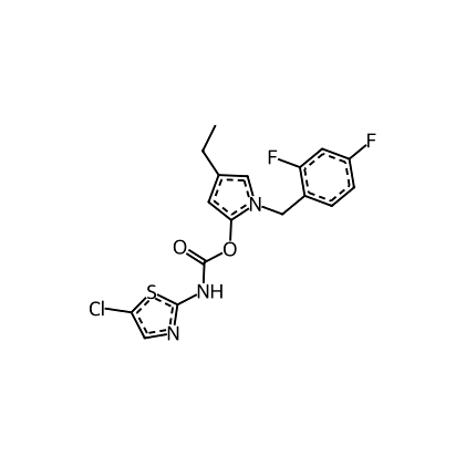 CCc1cc(OC(=O)Nc2ncc(Cl)s2)n(Cc2ccc(F)cc2F)c1